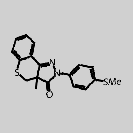 CSc1ccc(N2N=C3c4ccccc4SCC3(C)C2=O)cc1